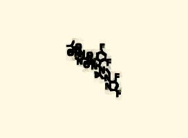 CC(C)S(=O)(=O)n1cnc(S(=O)(=O)n2nc(N3CCN(c4ncc(F)cc4F)CC34CC4)c3c(F)cc(F)cc32)n1